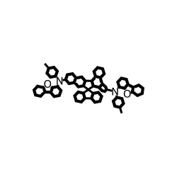 Cc1ccc(N(c2ccc3cc4c(cc3c2)C2(c3ccccc3-c3ccccc32)c2c-4c3ccccc3c3cc(N(c4ccc(C)cc4)c4cccc5c4oc4ccccc45)ccc23)c2cccc3c2oc2ccccc23)cc1